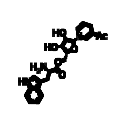 CC(=O)C1=CN([C@@H]2O[C@H](COC(=O)[C@@H](N)Cc3c[nH]c4ccccc34)[C@@H](O)[C@H]2O)C=CC1